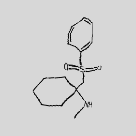 CNC1(CS(=O)(=O)c2ccccc2)CCCCC1